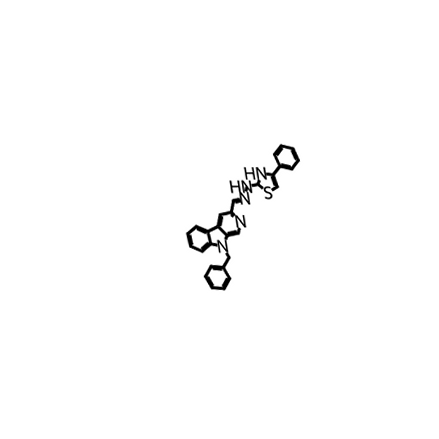 C(=NNC1NC(c2ccccc2)=CS1)c1cc2c3ccccc3n(Cc3ccccc3)c2cn1